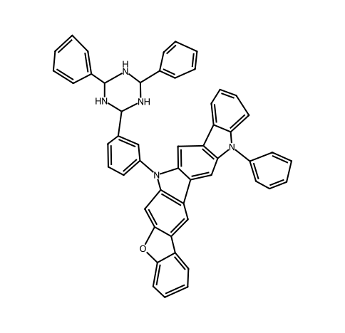 c1ccc(C2NC(c3ccccc3)NC(c3cccc(-n4c5cc6oc7ccccc7c6cc5c5cc6c(cc54)c4ccccc4n6-c4ccccc4)c3)N2)cc1